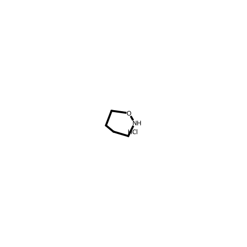 C1CCONC1.Cl